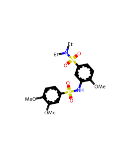 CCN(CC)S(=O)(=O)c1ccc(OC)c(NS(=O)(=O)c2ccc(OC)c(OC)c2)c1